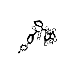 CC[C@H]1CN(C(=O)[C@@H](NC(=O)c2ccc(N3CCN(C)CC3)cc2)C2CCCC2)[C@@H]2C(=O)CO[C@H]12